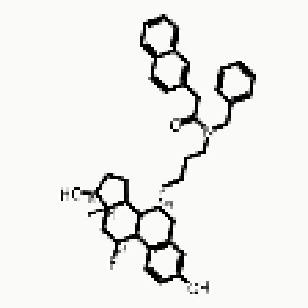 C[C@]12C[C@H](F)C3c4ccc(O)cc4C[C@@H](CCCCN(Cc4ccccc4)C(=O)Cc4ccc5ccccc5c4)C3C1CC[C@@H]2O